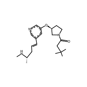 CN[C@@H](C)C/C=C/c1cncc(O[C@H]2CCN(C(=O)CC(C)(C)C)C2)c1